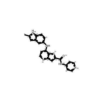 Cc1cc2cc(Nc3ccnc4cc(C(=O)Nc5ccncc5)sc34)ccc2[nH]1